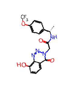 C[C@H](NC(=O)Cn1nnc2c(O)cccc2c1=O)c1ccc(OC(F)(F)F)cc1